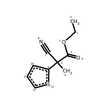 CCOC(=O)C(C)(C#N)c1cccs1